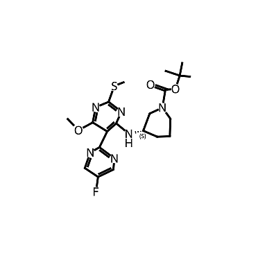 COc1nc(SC)nc(N[C@H]2CCCN(C(=O)OC(C)(C)C)C2)c1-c1ncc(F)cn1